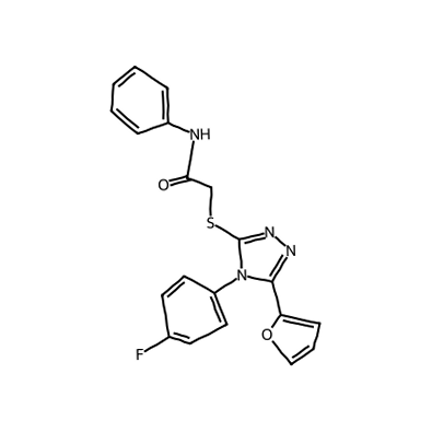 O=C(CSc1nnc(-c2ccco2)n1-c1ccc(F)cc1)Nc1ccccc1